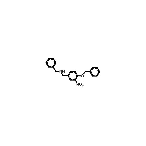 O=[N+]([O-])c1cc(CNCc2ccccc2)ccc1OCc1ccccc1